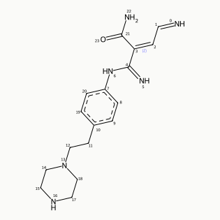 N=C/C=C(/C(=N)Nc1ccc(CCN2CCNCC2)cc1)C(N)=O